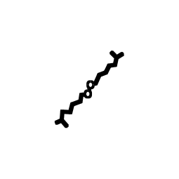 CC(C)CCCCCOOCCCCCC(C)C